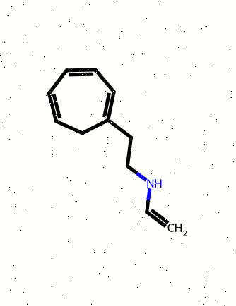 C=CNCCC1=CC=CC=CC1